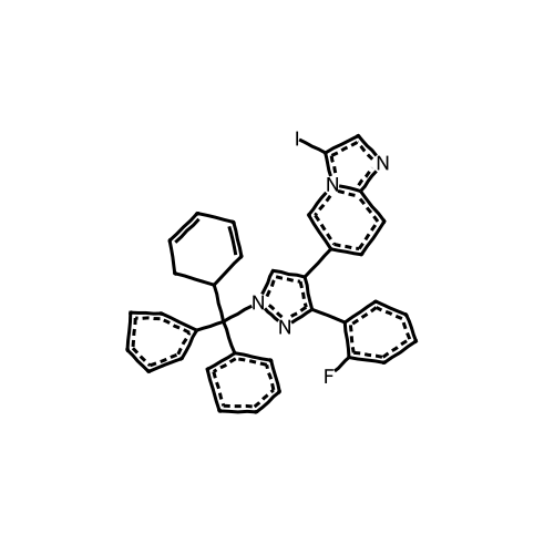 Fc1ccccc1-c1nn(C(c2ccccc2)(c2ccccc2)C2C=CC=CC2)cc1-c1ccc2ncc(I)n2c1